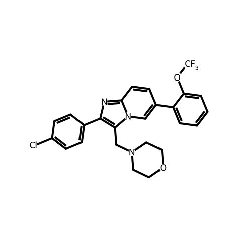 FC(F)(F)Oc1ccccc1-c1ccc2nc(-c3ccc(Cl)cc3)c(CN3CCOCC3)n2c1